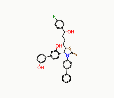 Oc1cccc(-c2ccc([C@@H]3[C@@H](CCCC(O)c4ccc(F)cc4)SC(=S)N3c3ccc(-c4ccccc4)cc3)c(O)c2)c1